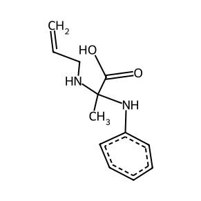 C=CCNC(C)(Nc1ccccc1)C(=O)O